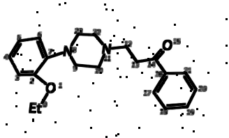 CCOc1ccccc1N1CCN(CCC(=O)c2ccccc2)CC1